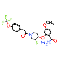 COc1ccc(C(N)=O)c(O[C@@H]2CCN(C(=O)Cc3ccc(OC(F)(F)F)cc3)C[C@@H]2F)c1